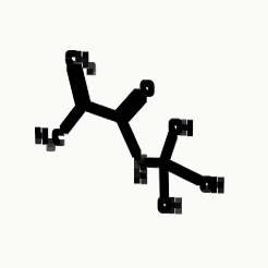 C=C(C)C(=O)NC(O)(O)O